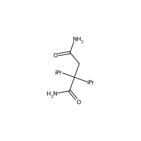 CC(C)C(CC(N)=O)(C(N)=O)C(C)C